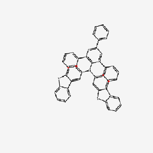 c1ccc(-c2cc(-c3ccccc3)c(N(c3ccc4c(c3)sc3ccccc34)c3ccc4sc5ccccc5c4c3)c(-c3ccccc3)c2)cc1